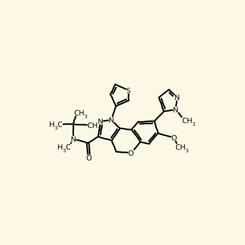 COc1cc2c(cc1-c1ccnn1C)-c1c(c(C(=O)N(C)C(C)(C)C)nn1-c1ccsc1)CO2